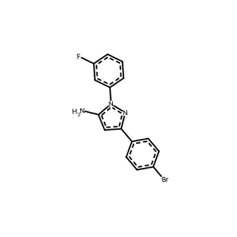 Nc1cc(-c2ccc(Br)cc2)nn1-c1cccc(F)c1